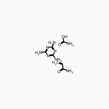 C=CC(N)=O.NC(=O)O.Nc1nc(N)nc(N)n1